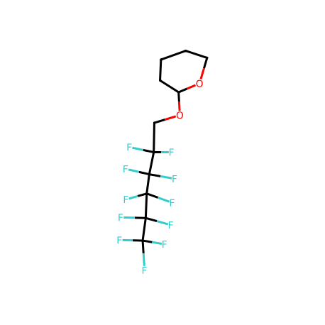 FC(F)(F)C(F)(F)C(F)(F)C(F)(F)C(F)(F)COC1CCCCO1